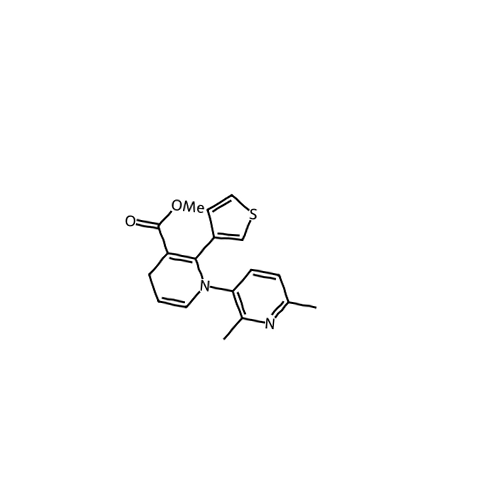 COC(=O)C1=C(c2ccsc2)N(c2ccc(C)nc2C)C=CC1